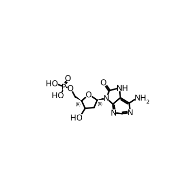 Nc1ncnc2c1[nH]c(=O)n2[C@H]1CC(O)[C@@H](COP(=O)(O)O)O1